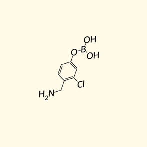 NCc1ccc(OB(O)O)cc1Cl